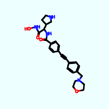 O=C(NC(C(=O)NO)C1CCNC1)c1ccc(C#Cc2ccc(CN3CCOCC3)cc2)cc1